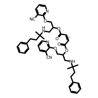 CC(C)(CCc1ccccc1)NCC(COc1ncccc1C#N)OC(=O)/C=C\C(=O)OC(CNC(C)(C)CCc1ccccc1)COc1ncccc1C#N